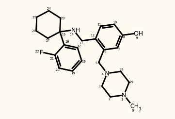 CN1CCN(Cc2cc(O)ccc2CNC2(c3ccccc3F)CCCCC2)CC1